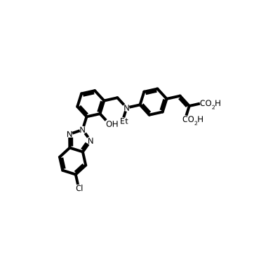 CCN(Cc1cccc(-n2nc3ccc(Cl)cc3n2)c1O)c1ccc(C=C(C(=O)O)C(=O)O)cc1